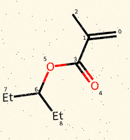 C=C(C)C(=O)O[C](CC)CC